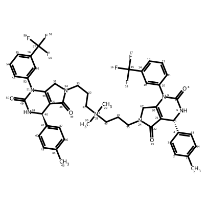 Cc1ccc([C@H]2NC(=O)N(c3cccc(C(F)(F)F)c3)C3=C2C(=O)N(CCC[N+](C)(C)CCCN2CC4=C(C2=O)[C@@H](c2ccc(C)cc2)NC(=O)N4c2cccc(C(F)(F)F)c2)C3)cc1